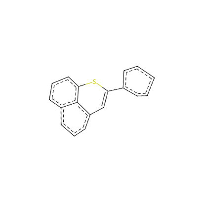 C1=C(c2ccccc2)Sc2cccc3cccc1c23